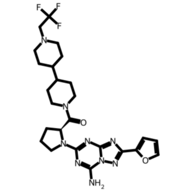 Nc1nc(N2CCC[C@H]2C(=O)N2CCC(C3CCN(CC(F)(F)F)CC3)CC2)nc2nc(-c3ccco3)nn12